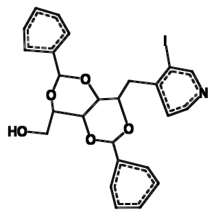 OCC1OC(c2ccccc2)OC2C(Cc3ccncc3I)OC(c3ccccc3)OC12